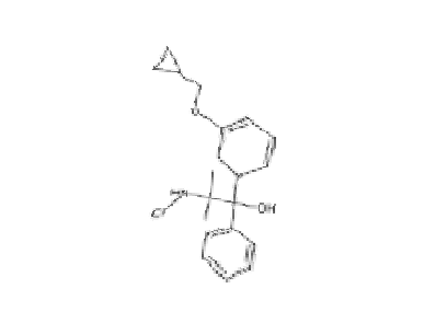 CC(C)(NCl)C(O)(c1ccccc1)C1C=CC=C(OCC2CC2)C1